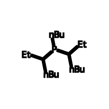 CCCCC(CC)P(CCCC)C(CC)CCCC